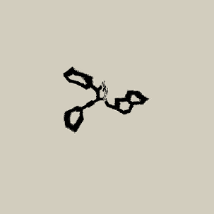 C(#Cc1c(-c2ccccc2)nnn1Cc1ccc2ccccc2c1)c1ccccc1